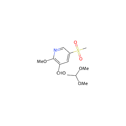 COC(C)OC.COc1ncc(S(C)(=O)=O)cc1C=O